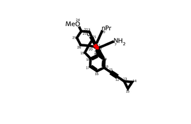 CCCN1C(=O)C2(N=C1N)c1cc(C#CC3CC3)ccc1CC21CCC(OC)CC1